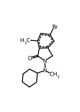 Cc1cc(Br)cc2c1C(=O)N(N(C)C1CCCCC1)C2